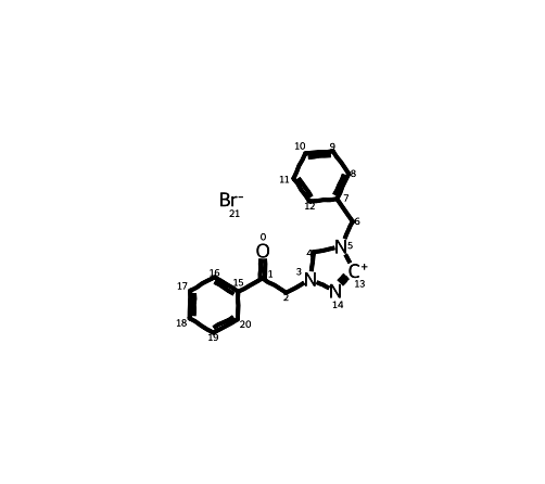 O=C(CN1CN(Cc2ccccc2)[C+]=N1)c1ccccc1.[Br-]